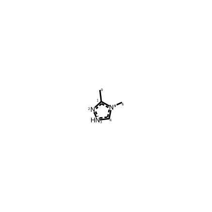 Cc1n[nH]c[n+]1C